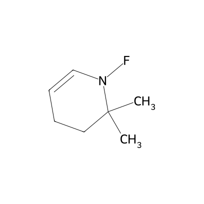 CC1(C)CCC=CN1F